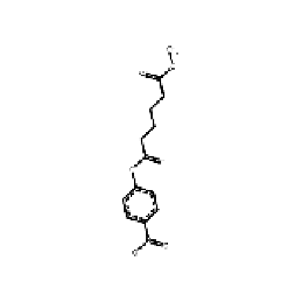 COC(=O)CCCCC(=O)Oc1ccc([N+](=O)[O-])cc1